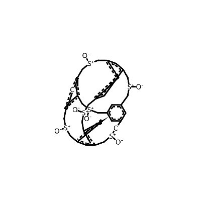 [O-][S+]1Cc2cc3cc(c2)C[S+]([O-])Cc2cc4cc(c2)C[S+]([O-])Cc2cc(cc(c2)C[S+]([O-])Cc2cc(cc(c2)C[S+]([O-])C4)C1)C[S+]([O-])C3